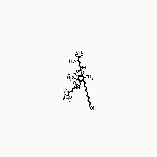 COC(=O)[C@@H](N)CCNC(=O)Oc1c(C)c(CCCCCCCCCCO)c(OC(=O)NCC[C@H](N)C(=O)OC)c(OC)c1OC